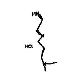 CN(C)CCCN=CC=N.Cl